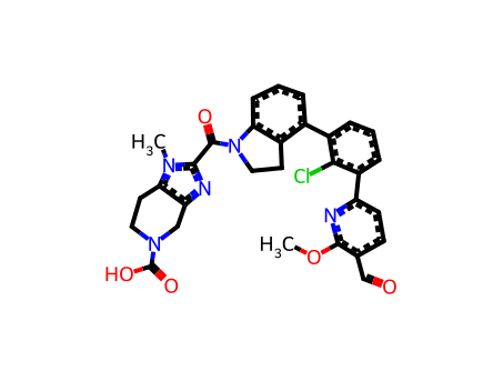 COc1nc(-c2cccc(-c3cccc4c3CCN4C(=O)c3nc4c(n3C)CCN(C(=O)O)C4)c2Cl)ccc1C=O